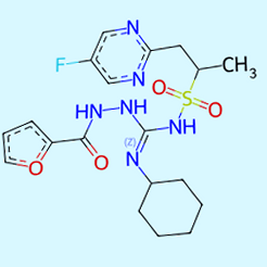 CC(Cc1ncc(F)cn1)S(=O)(=O)N/C(=N\C1CCCCC1)NNC(=O)c1ccco1